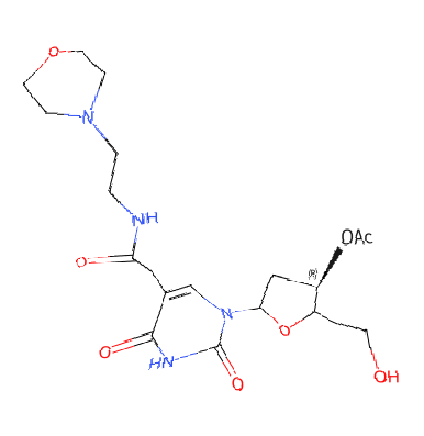 CC(=O)O[C@@H]1CC(n2cc(C(=O)NCCN3CCOCC3)c(=O)[nH]c2=O)OC1CO